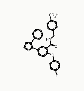 O=C(O)c1ccc(CNC(=O)c2cc(-c3sccc3-c3ccccc3)ccc2Oc2ccc(F)cc2)cc1